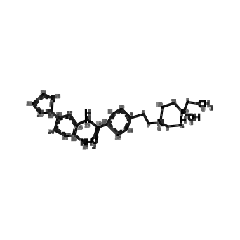 CC[PH]1(O)CCN(CCc2ccc(C(=O)Nc3cc(-c4cccs4)ccc3N)cc2)CC1